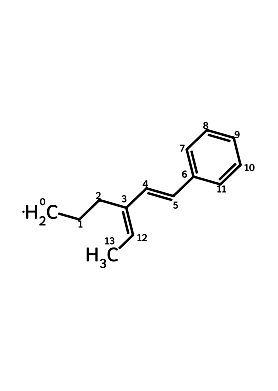 [CH2]CCC(C=Cc1ccccc1)=CC